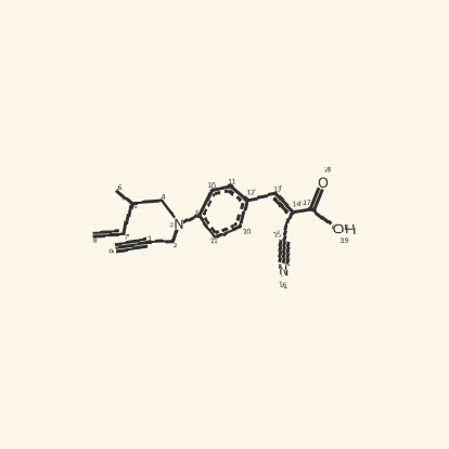 C#CCN(CC(C)C=C)c1ccc(/C=C(\C#N)C(=O)O)cc1